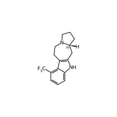 FC(F)(F)c1cccc2[nH]c3c(c12)CCN1CCC[C@@H]1C3